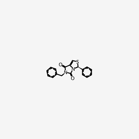 O=C1C2=CS[C@@H](c3ccccc3)N2C(=O)N1Cc1ccccc1